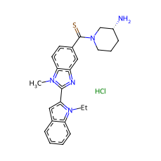 CCn1c(-c2nc3cc(C(=S)N4CCC[C@@H](N)C4)ccc3n2C)cc2ccccc21.Cl